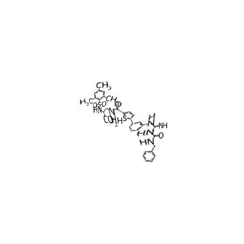 Cc1cc(C)c(S(=O)(=O)NC(CNC(=O)c2ccc(-c3cccc(NC(=N)NC(=O)NCc4ccccc4)c3)s2)C(=O)O)c(C)c1